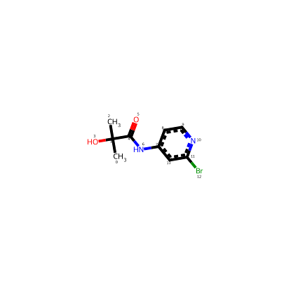 CC(C)(O)C(=O)Nc1ccnc(Br)c1